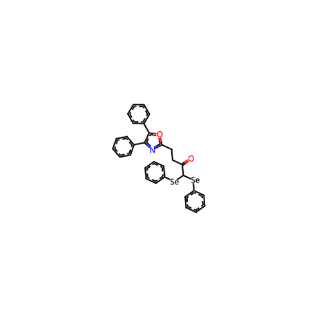 O=C(CCc1nc(-c2ccccc2)c(-c2ccccc2)o1)C([Se]c1ccccc1)[Se]c1ccccc1